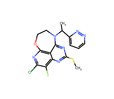 CSc1nc2c3c(nc(Cl)c(F)c3n1)OCCN2C(C)c1cccnn1